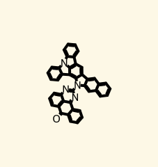 O=C1c2ccccc2-c2nc(-n3c4cc5ccccc5cc4c4cc5c6ccccc6n6c7ccccc7c(c43)c56)nc3cccc1c23